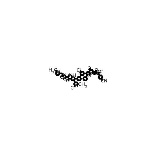 Cc1cc(-c2cc3c(=O)c(C(=O)N[S+]([O-])Cc4cccc(C)n4)c[nH]c3nc2-c2cccc(-c3cc(-c4cc5c(=O)cc(C(=O)N[S+]([O-])c6ccc(C#N)cc6)[nH]c5nc4-c4ccccc4)cc(Cl)n3)c2)cc(Cl)n1